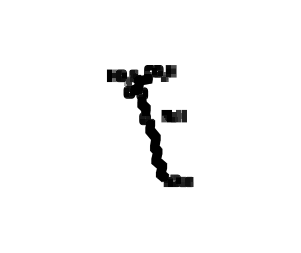 CCCCCCCCCCCCCCCCCCOCCOC(=O)C(CC(=O)O)S(=O)(=O)O.[NaH]